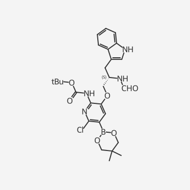 CC1(C)COB(c2cc(OC[C@H](Cc3c[nH]c4ccccc34)NC=O)c(NC(=O)OC(C)(C)C)nc2Cl)OC1